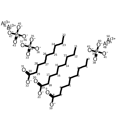 CCCCCCCCC(=O)[O-].CCCCCCCCC(=O)[O-].CCCCCCCCC(=O)[O-].O=P([O-])([O-])[O-].O=P([O-])([O-])[O-].O=P([O-])([O-])[O-].[Al+3].[Al+3].[Al+3].[Al+3]